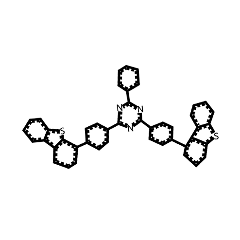 c1ccc(-c2nc(-c3ccc(-c4cccc5c4sc4ccccc45)cc3)nc(-c3ccc(-c4cccc5sc6ccccc6c45)cc3)n2)cc1